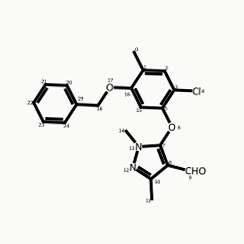 Cc1cc(Cl)c(Oc2c(C=O)c(C)nn2C)cc1OCc1ccccc1